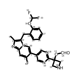 Cc1nc2cc(F)c(-c3cnc(C4(OC=O)CNC4)nc3)cn2c1Cc1ccccc1OC(F)F